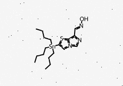 CCC[CH2][Sn]([CH2]CCC)([CH2]CCC)[c]1cn2cnc(C=NO)c2s1